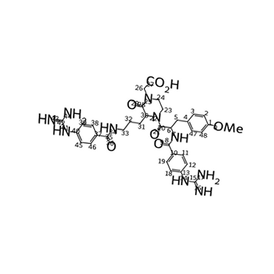 COc1ccc(CC(NC(=O)c2ccc(NC(=N)N)cc2)C(=O)N2CCN(CC(=O)O)C(=O)C2CCCNC(=O)c2ccc(NC(=N)N)cc2)cc1